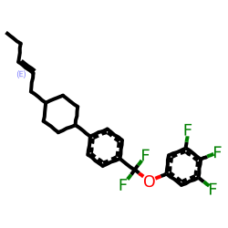 CC/C=C/CC1CCC(c2ccc(C(F)(F)Oc3cc(F)c(F)c(F)c3)cc2)CC1